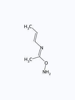 C/C=C/N=C(\C)ON